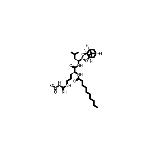 CCCCCCCCCC(=O)N[C@@H](CCCNC(=N)N[N+](=O)[O-])C(=O)N[C@@H](CC(C)C)B1O[C@@H]2C[C@@H]3C[C@@H](C3(C)C)[C@]2(C)O1